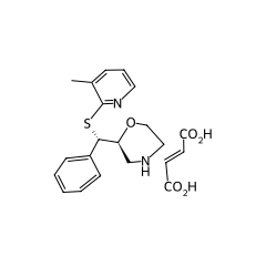 Cc1cccnc1S[C@@H](c1ccccc1)[C@@H]1CNCCO1.O=C(O)/C=C/C(=O)O